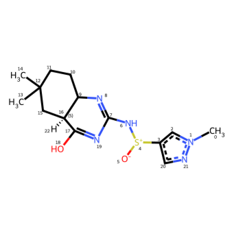 Cn1cc([S+]([O-])NC2=NC3CCC(C)(C)C[C@@H]3C(O)=N2)cn1